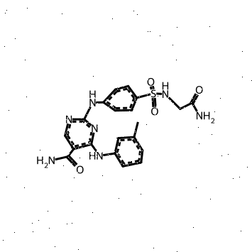 Cc1cccc(Nc2nc(Nc3ccc(S(=O)(=O)NCC(N)=O)cc3)ncc2C(N)=O)c1